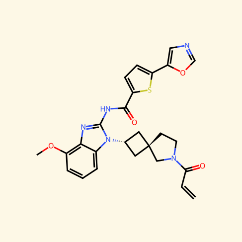 C=CC(=O)N1CC[C@]2(C1)C[C@@H](n1c(NC(=O)c3ccc(-c4cnco4)s3)nc3c(OC)cccc31)C2